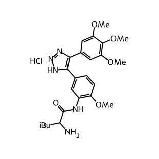 CCC(C)C(N)C(=O)Nc1cc(-c2[nH]nnc2-c2cc(OC)c(OC)c(OC)c2)ccc1OC.Cl